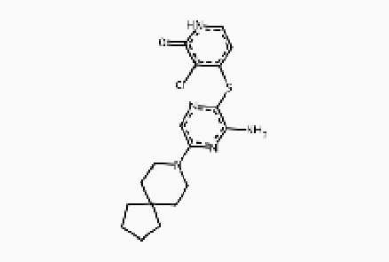 Nc1nc(N2CCC3(CCCC3)CC2)cnc1Sc1cc[nH]c(=O)c1Cl